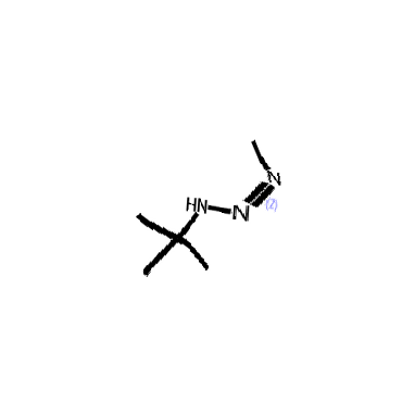 C/N=N\NC(C)(C)C